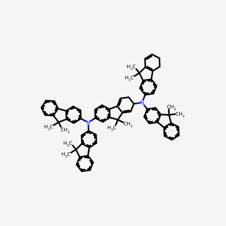 CC1(C)C2=CC(N(c3ccc4c(c3)C(C)(C)C3=C4CCC=C3)c3ccc4c(c3)C(C)(C)c3ccccc3-4)CC=C2c2ccc(N(c3ccc4c(c3)C(C)(C)c3ccccc3-4)c3ccc4c(c3)C(C)(C)c3ccccc3-4)cc21